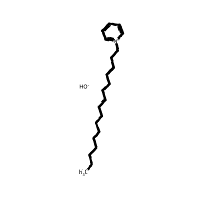 CCCCCCCCCCCCCCCC[n+]1ccccc1.[OH-]